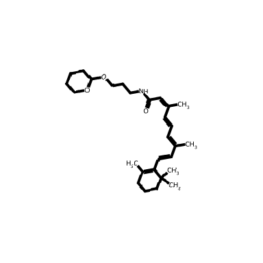 CC(C=CC1=C(C)CCCC1(C)C)=CC=C/C(C)=C\C(=O)NCCCOC1CCCCO1